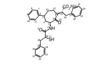 O=C(N[C@H]1CC(c2ccccc2)CCN([C@@H](Cc2ccccc2)C(=O)O)C1=O)C(S)Cc1ccccc1